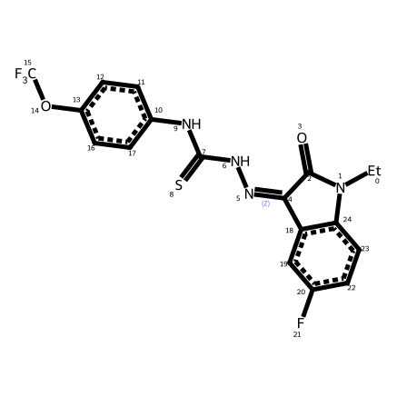 CCN1C(=O)/C(=N\NC(=S)Nc2ccc(OC(F)(F)F)cc2)c2cc(F)ccc21